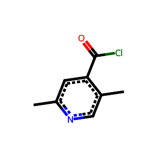 Cc1cc(C(=O)Cl)c(C)cn1